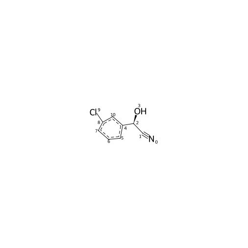 N#C[C@H](O)c1cccc(Cl)c1